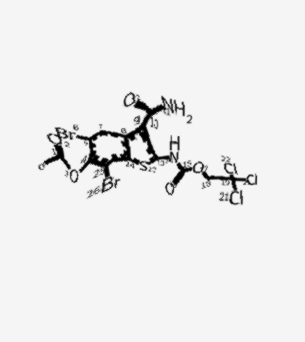 CC(=O)Oc1c(Br)cc2c(C(N)=O)c(NC(=O)OCC(Cl)(Cl)Cl)sc2c1Br